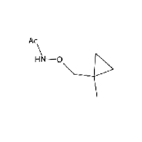 CC(=O)NOCC1(C)CC1